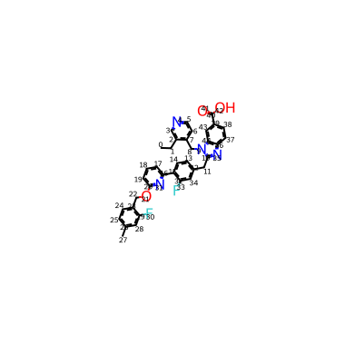 CCc1cnccc1Cn1c(Cc2ccc(-c3cccc(OCc4ccc(C)cc4F)n3)c(F)c2)nc2ccc(C(=O)O)cc21